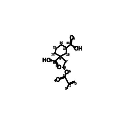 C=C(C)C(=O)OCCC1(C(=O)O)CCCC(C(=O)O)C1